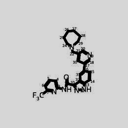 O=C(Nc1cccc(C(F)(F)F)n1)c1n[nH]c2ccc(-c3cncc(CN4CCCCCC4)c3)cc12